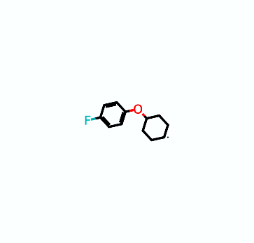 Fc1ccc(OC2CC[CH]CC2)cc1